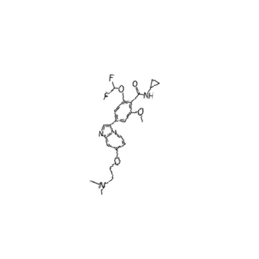 COc1cc(-c2cnc3cc(OCCN(C)C)ccn23)cc(OC(F)F)c1C(=O)NC1CC1